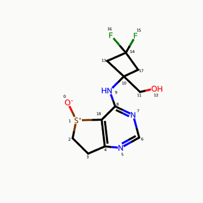 [O-][S+]1CCc2ncnc(NC3(CO)CC(F)(F)C3)c21